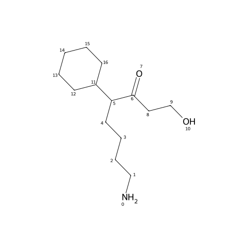 NCCCCC(C(=O)CCO)C1CCCCC1